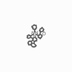 c1ccc(-c2nc(-c3ccccc3-c3cccc4c3-c3cccc5cccc-4c35)nc(-c3cccc4oc5ccccc5c34)n2)cc1